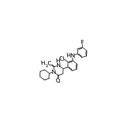 C=C1NC(c2cccc(Nc3cccc(F)c3)c2Cl)CC(=O)N1C1CCCCC1